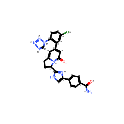 NC(=O)c1ccc(-c2c[nH]c(C3CCc4cc(-c5cc(Cl)ccc5-n5cnnn5)cc(=O)n43)n2)cc1